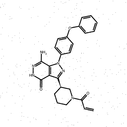 C=CC(=O)N1CCC[C@@H](c2nn(-c3ccc(Oc4ccccc4)cc3)c3c(N)n[nH]c(=O)c23)C1